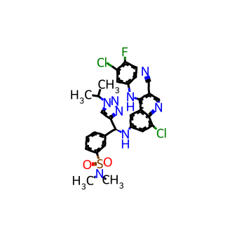 CC(C)n1cc([C@@H](Nc2cc(Cl)c3ncc(C#N)c(Nc4ccc(F)c(Cl)c4)c3c2)c2cccc(S(=O)(=O)N(C)C)c2)nn1